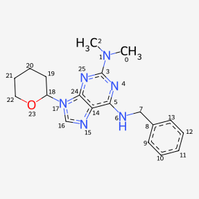 CN(C)c1nc(NCc2ccccc2)c2ncn(C3CCCCO3)c2n1